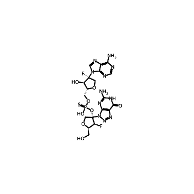 Nc1nc2c(nnn2[C@]2(OP(O)(=S)OC[C@H]3OC[C@](F)(n4cnc5c(N)ncnc54)[C@@H]3O)CO[C@H](CO)[C@@H]2F)c(=O)[nH]1